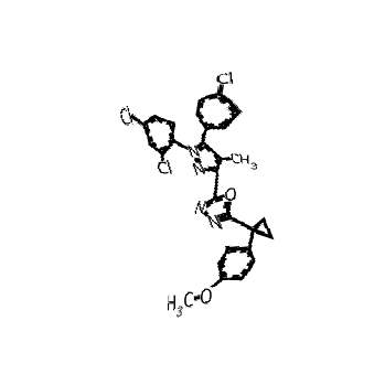 COc1ccc(C2(c3nnc(-c4nn(-c5ccc(Cl)cc5Cl)c(-c5ccc(Cl)cc5)c4C)o3)CC2)cc1